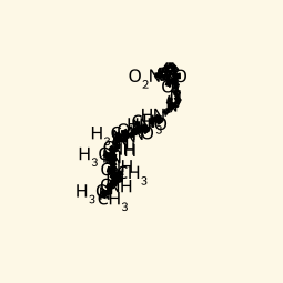 CN(C)CC(=O)Nc1cn(C)c(C(=O)Nc2cn(C)c(C(=O)Nc3cn(C)c(C(=O)Nc4cn(C)c(C(=O)NCCC(=O)NCCCN5CCN(CCCN6C(=O)c7cccc8cc([N+](=O)[O-])cc(c78)C6=O)CC5)n4)n3)n2)n1